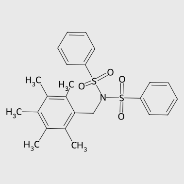 Cc1c(C)c(C)c(CN(S(=O)(=O)c2ccccc2)S(=O)(=O)c2ccccc2)c(C)c1C